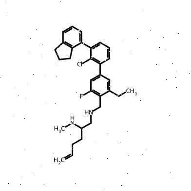 C=CCCC(CNCc1c(F)cc(-c2cccc(-c3cccc4c3CCC4)c2Cl)cc1CC)NC